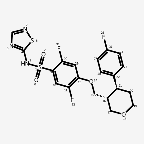 O=S(=O)(Nc1ncns1)c1cc(F)c(OC[C@H]2COCC[C@@H]2c2ccc(F)cc2)cc1F